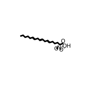 CCCCC/C=C/C/C=C/C/C=C/CCCC(C(=O)O)[N+](=O)[O-]